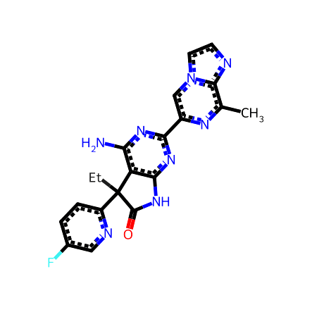 CCC1(c2ccc(F)cn2)C(=O)Nc2nc(-c3cn4ccnc4c(C)n3)nc(N)c21